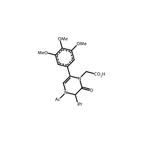 COc1cc(C2=CN(C(C)=O)C(C(C)C)C(=O)N2CC(=O)O)cc(OC)c1OC